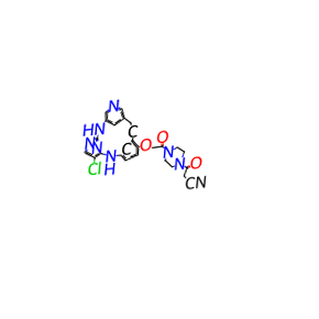 N#CCC(=O)N1CCN(C(=O)COc2ccc3cc2CCc2cncc(c2)Nc2ncc(Cl)c(n2)N3)CC1